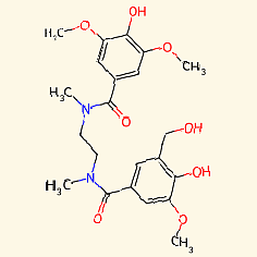 COc1cc(C(=O)N(C)CCN(C)C(=O)c2cc(OC)c(O)c(OC)c2)cc(CO)c1O